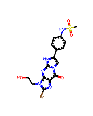 CS(=O)(=O)Nc1ccc(-c2cn3c(=O)c4nc(Br)n(CCO)c4nc3[nH]2)cc1